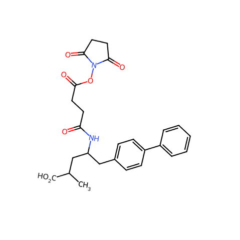 CC(CC(Cc1ccc(-c2ccccc2)cc1)NC(=O)CCC(=O)ON1C(=O)CCC1=O)C(=O)O